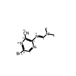 CN(C)C=Nc1ncc(Br)nc1C#N